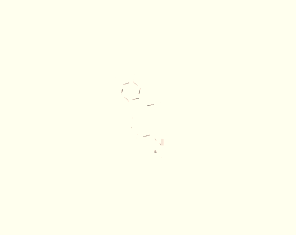 CC(=O)SC(CC(=O)N[C@@H](C)C(=O)O)C(=O)c1ccc(Cl)c(Cl)c1